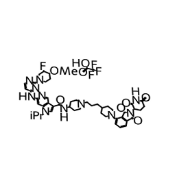 COC1CCN(c2nccc(Nc3cc4c(cn3)c(C(=O)NC3CCN(CCCC5CCN(c6cccc7c6C(=O)N(C6CCC(=O)NC6=O)C7=O)CC5)CC3)cn4C(C)C)n2)C[C@H]1F.O=C(O)C(F)(F)F